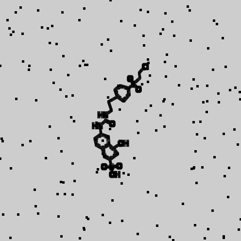 O=C(NCCc1ccc(S(=O)(=O)CCCl)cc1)Nc1ccc2cc(S(=O)(=O)O)cc(O)c2c1